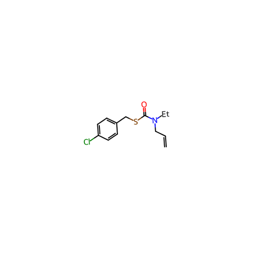 C=CCN(CC)C(=O)SCc1ccc(Cl)cc1